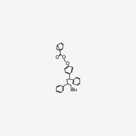 CCC(C)CC(CC(c1ccccc1)c1ccc(OCOC(=O)C2CC3C=CC2C3)cc1)c1ccccc1